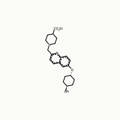 CCC[C@H]1CC[C@H](Oc2ccc3nc(CN4CCC(C(=O)OCC)CC4)ccc3c2)CC1